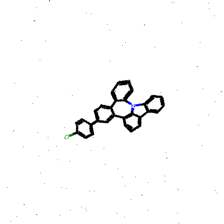 Clc1ccc(-c2ccc3c(c2)-c2cccc4c5ccccc5n(c24)-c2ccccc2-3)cc1